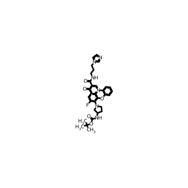 CC(C)(C)OC(=O)NC1CCN(c2c(F)cc3c(=O)c(C(=O)NCCCn4ccnc4)cn4c3c2Oc2ccccc2-4)C1